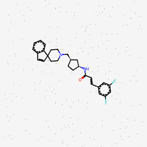 O=C(/C=C/c1cc(F)cc(F)c1)N[C@H]1CC[C@@H](CN2CCC3(C=Cc4ccccc43)CC2)C1